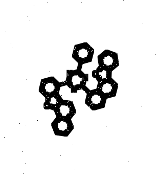 c1ccc(-c2nc(-c3cccc4oc5c6ccccc6ccc5c34)nc(-c3cccc4ccc5c6ccccc6oc5c34)n2)cc1